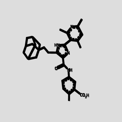 Cc1cc(C)c(-c2nc(C(=O)Nc3ccc(C)c(C(=O)O)c3)c(CCC34CC5CC(CC(C5)C3)C4)[nH]2)c(C)n1